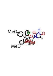 COc1ccc(C(c2ccccc2)(c2ccc(OC)cc2)C(O)[C@@]2(CBr)O[C@@H](n3cc(C)c(=O)[nH]c3=O)C[C@@]2(O)[Si](C)(C)C(C)(C)C)cc1